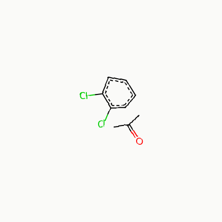 CC(C)=O.Clc1ccccc1Cl